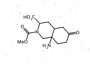 COC(=O)N1CC2(N)CCC(=O)CC2CC1C(=O)O